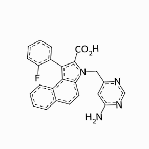 Nc1cc(Cn2c(C(=O)O)c(-c3ccccc3F)c3c4ccccc4ccc32)ncn1